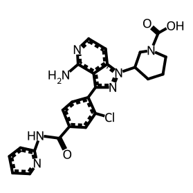 Nc1nccc2c1c(-c1ccc(C(=O)Nc3ccccn3)cc1Cl)nn2C1CCCN(C(=O)O)C1